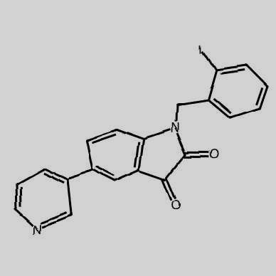 O=C1C(=O)N(Cc2ccccc2I)c2ccc(-c3cccnc3)cc21